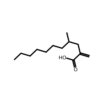 C=C(CC(C)CCCCCCC)C(=O)O